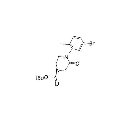 Cc1ccc(Br)cc1N1CCN(C(=O)OCC(C)C)CC1=O